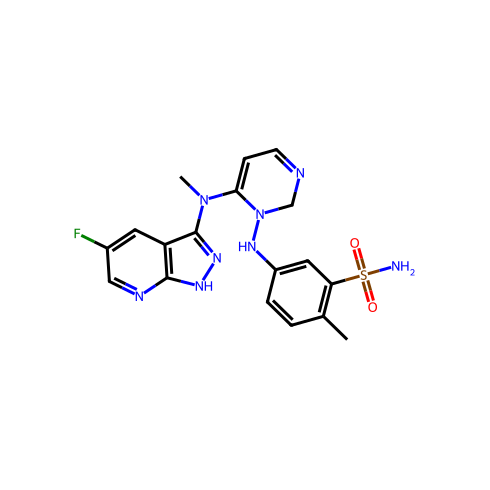 Cc1ccc(NN2CN=CC=C2N(C)c2n[nH]c3ncc(F)cc23)cc1S(N)(=O)=O